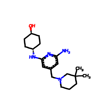 CC1(C)CCCN(Cc2cc(N)nc(N[C@H]3CC[C@H](O)CC3)c2)C1